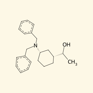 CC(O)[C@@H]1CCC[C@H](N(Cc2ccccc2)Cc2ccccc2)C1